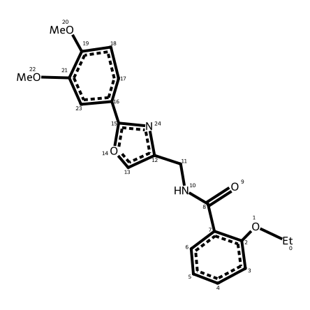 CCOc1ccccc1C(=O)NCc1coc(-c2ccc(OC)c(OC)c2)n1